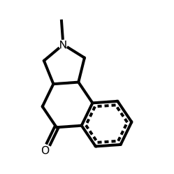 CN1CC2CC(=O)c3ccccc3C2C1